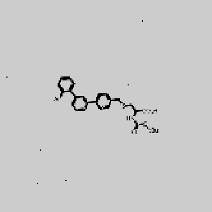 CC(=O)c1ccccc1-c1cccc(-c2ccc(CSCC(NC(=O)OC(C)(C)C)C(=O)O)cc2)c1